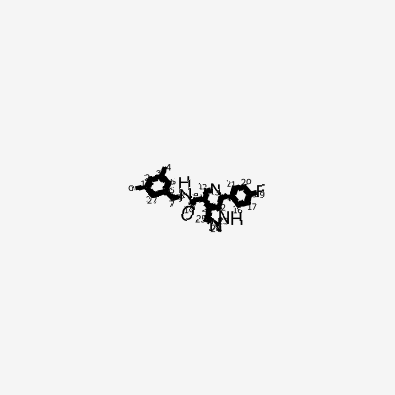 Cc1cc(C)cc(CNC(=O)c2cnc(-c3ccc(F)cc3)c3[nH]ncc23)c1